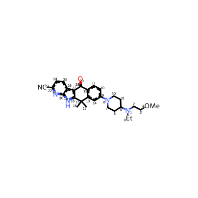 CCN(CCOC)C1CCN(c2ccc3c(c2)C(C)(C)c2[nH]c4nc(C#N)ccc4c2C3=O)CC1